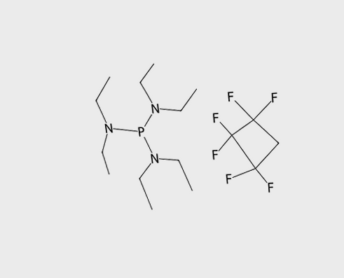 CCN(CC)P(N(CC)CC)N(CC)CC.FC1(F)CC(F)(F)C1(F)F